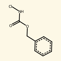 O=C(NCl)OCc1ccccc1